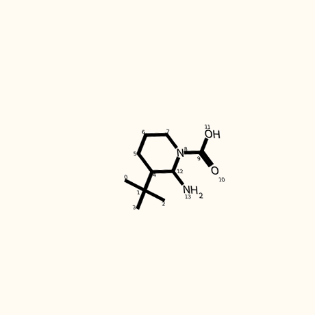 CC(C)(C)C1CCCN(C(=O)O)C1N